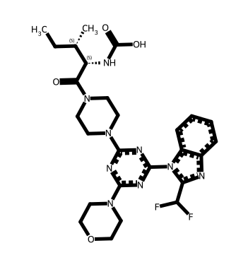 CC[C@H](C)[C@H](NC(=O)O)C(=O)N1CCN(c2nc(N3CCOCC3)nc(-n3c(C(F)F)nc4ccccc43)n2)CC1